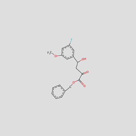 O=C(CC(O)c1cc(F)cc(OC(F)(F)F)c1)C(=O)OCc1ccccc1